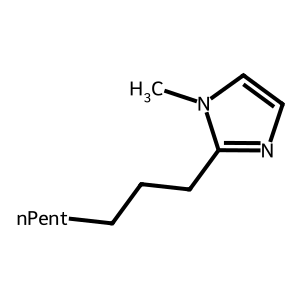 CCCCCCCCc1nccn1C